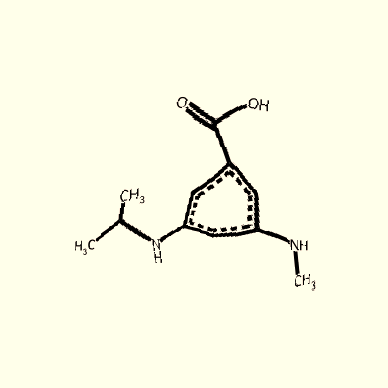 CNc1cc(NC(C)C)cc(C(=O)O)c1